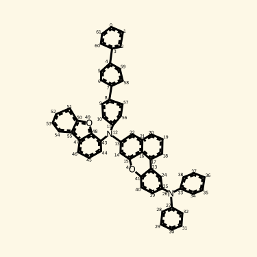 c1ccc(-c2ccc(-c3ccc(N(c4cc5c6c(cccc6c4)-c4cc(N(c6ccccc6)c6ccccc6)ccc4O5)c4cccc5c4oc4ccccc45)cc3)cc2)cc1